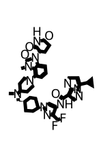 CN(C[C@H]1CC[C@H](n2cc(NC(=O)c3cnn4c(C5CC5)ccnc34)c(C(F)F)n2)CC1)C1CCN(c2cccc3c2n(C)c(=O)n3C2CCC(=O)NC2=O)CC1